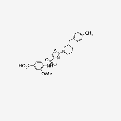 COc1cc(C(=O)O)ccc1NS(=O)(=O)c1csc(N2CCCC(Cc3ccc(C)cc3)C2)n1